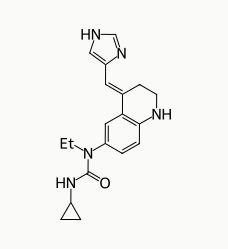 CCN(C(=O)NC1CC1)c1ccc2c(c1)/C(=C/c1c[nH]cn1)CCN2